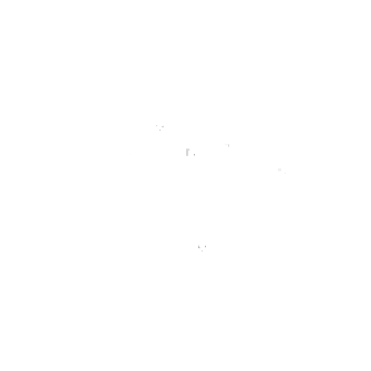 COc1ccc(C(C)OC)c(NC(=O)OC(C)(C)C)c1